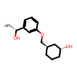 CCC[C@@H](O)c1cccc(OC[C@@H]2CCC[C@@H](O)C2)c1